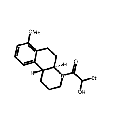 CCC(O)C(=O)N1CCC[C@@H]2c3cccc(OC)c3CC[C@H]21